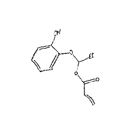 C=CC(=O)OC(CC)Oc1ccccc1O